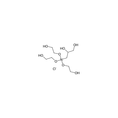 OCCO[N+](CC(O)CO)(OCCO)OCCO.[Cl-]